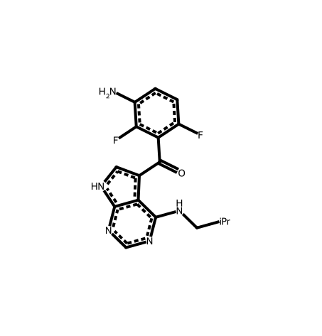 CC(C)CNc1ncnc2[nH]cc(C(=O)c3c(F)ccc(N)c3F)c12